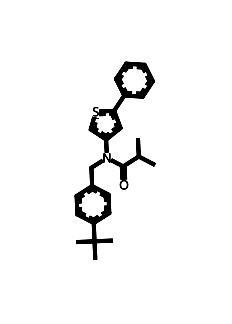 CC(C)C(=O)N(Cc1ccc(C(C)(C)C)cc1)c1csc(-c2ccccc2)c1